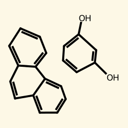 Oc1cccc(O)c1.c1ccc2c(c1)ccc1ccccc12